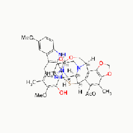 COc1ccc2[nH]c3c(c2c1)CCN[C@]31CS[C@@H]2c3c(OC(C)=O)c(C)c4c(c3[C@H](COC1=O)N1C[C@@H]3Cc5cc(C)c(OC)c(O)c5[C@H]([C@H]21)N3C)OCO4